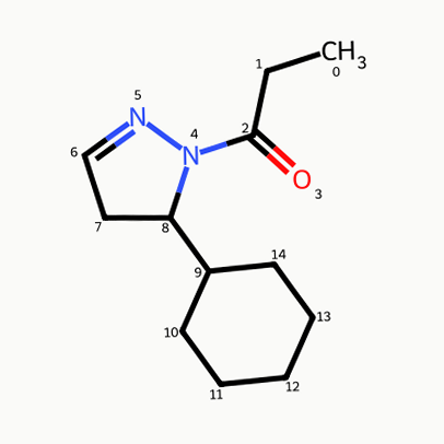 CCC(=O)N1N=CCC1C1CCCCC1